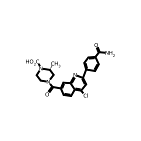 C[C@@H]1CN(C(=O)c2ccc3c(Cl)cc(-c4ccc(C(N)=O)cc4)nc3c2)CCN1C(=O)O